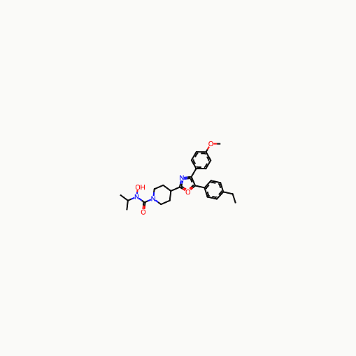 CCc1ccc(-c2oc(C3CCN(C(=O)N(O)C(C)C)CC3)nc2-c2ccc(OC)cc2)cc1